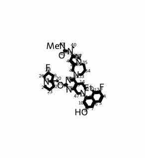 CCc1c(F)ccc2cc(O)cc(N3CCc4c(nc(OC[C@@]56CCCN5C[C@H](F)C6)nc4N4CCCn5nc(N(C)C(=O)NC)cc5C4)C3)c12